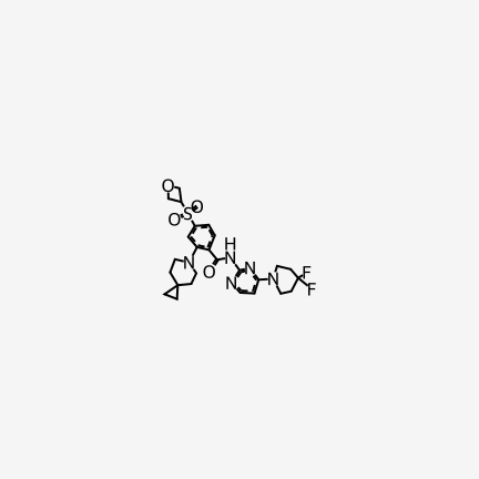 O=C(Nc1nccc(N2CCC(F)(F)CC2)n1)c1ccc(S(=O)(=O)C2COC2)cc1N1CCC2(CC1)CC2